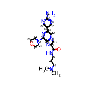 CN(C)CCCNC(=O)c1cn2cc(-c3cnc(N)nc3)nc(N3CCOCC3)c2n1